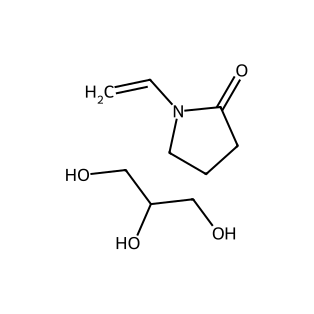 C=CN1CCCC1=O.OCC(O)CO